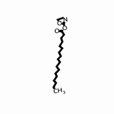 CCCCCCCCCCCCCCCCCC(=O)OC1=NCCO1